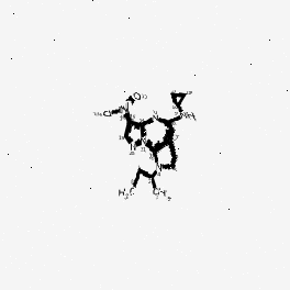 CCC(C)N1CCc2c(NC3CC3)nc3c([N+](=O)[O-])cnn3c21